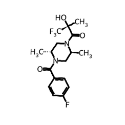 C[C@@H]1CN(C(=O)[C@@](C)(O)C(F)(F)F)[C@@H](C)CN1C(=O)c1ccc(F)cc1